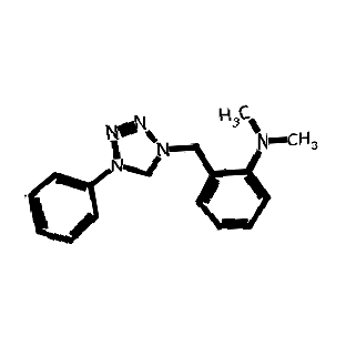 CN(C)c1ccccc1CN1CN(c2c[c]ccc2)N=N1